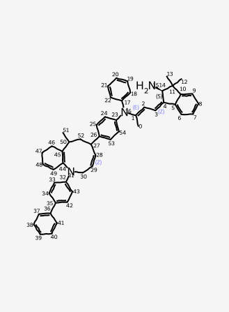 C/C(=C\C=C1\c2ccccc2C(C)(C)[C@@H]1N)N(c1ccccc1)c1ccc(C2/C=C\CN(c3ccc(-c4ccccc4)cc3)C3=C(CCC=C3)C(C)C2)cc1